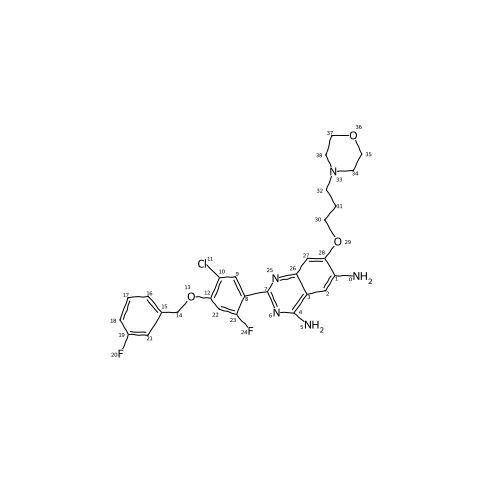 Nc1cc2c(N)nc(-c3cc(Cl)c(OCc4cccc(F)c4)cc3F)nc2cc1OCCCN1CCOCC1